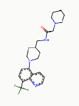 O=C(CN1CCCCC1)NCC1CCN(c2ccc(C(F)(F)F)c3ncccc23)CC1